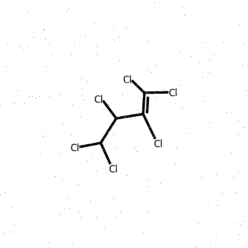 ClC(Cl)=C(Cl)C(Cl)C(Cl)Cl